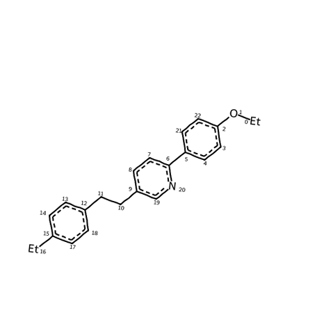 CCOc1ccc(-c2ccc(CCc3ccc(CC)cc3)cn2)cc1